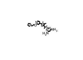 Cc1sc(-c2ccnc(OCCN3CCCC3)c2)nc1C(C)Sc1nc(N)cc(N)n1